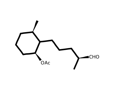 CC(=O)O[C@H]1CCC[C@@H](C)C1CCC[C@H](C)C=O